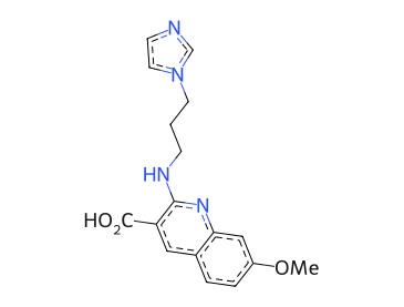 COc1ccc2cc(C(=O)O)c(NCCCn3ccnc3)nc2c1